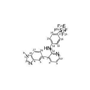 Cn1cnc2cc(-c3cccnc3Nc3ccc(S(F)(F)(F)(F)F)cc3)ccc21